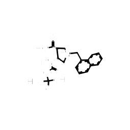 CC(C)(C)OC(=O)N[C@H]1CN(Cc2cccc3ccccc23)C[C@H]1C(=O)O